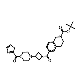 CC(C)(C)OC(=O)N1CCc2cc(C(=O)N3CC(N4CCN(C(=O)C5=NC=CC5)CC4)C3)ccc2C1